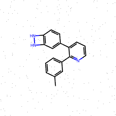 Cc1cccc(-c2ncccc2-c2ccc3[nH][nH]c3c2)c1